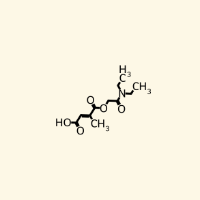 CCN(CC)C(=O)COC(=O)/C(C)=C/C(=O)O